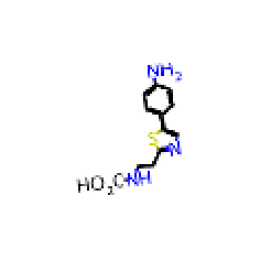 Nc1ccc(-c2cnc(CCNC(=O)O)s2)cc1